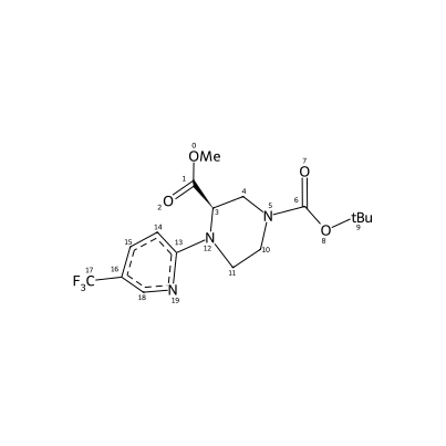 COC(=O)[C@H]1CN(C(=O)OC(C)(C)C)CCN1c1ccc(C(F)(F)F)cn1